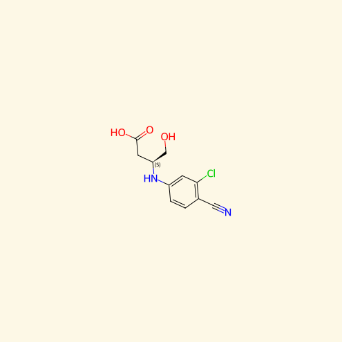 N#Cc1ccc(N[C@H](CO)CC(=O)O)cc1Cl